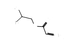 C=CC(=O)OCC(Cl)Cl